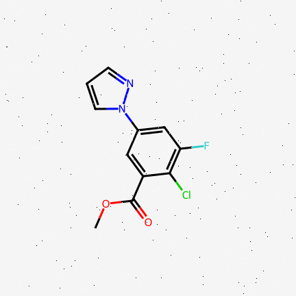 COC(=O)c1cc(-n2cccn2)cc(F)c1Cl